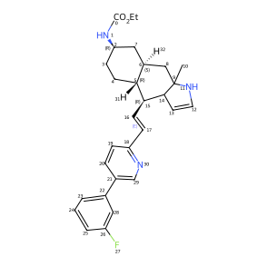 CCOC(=O)N[C@@H]1CC[C@@H]2[C@@H](C1)CC1(C)NC=CC1[C@H]2/C=C/c1ccc(-c2cccc(F)c2)cn1